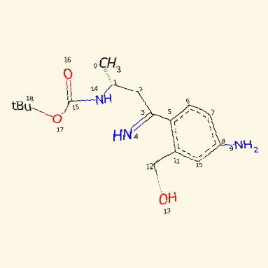 C[C@H](CC(=N)c1ccc(N)cc1CO)NC(=O)OC(C)(C)C